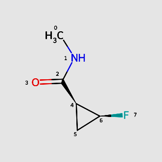 CNC(=O)[C@@H]1C[C@@H]1F